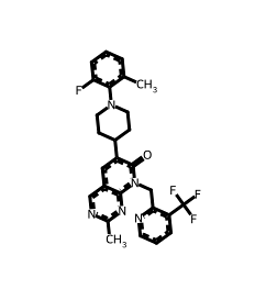 Cc1ncc2cc(C3CCN(c4c(C)cccc4F)CC3)c(=O)n(Cc3ncccc3C(F)(F)F)c2n1